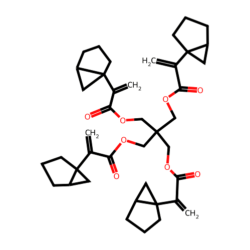 C=C(C(=O)OCC(COC(=O)C(=C)C12CCCC1C2)(COC(=O)C(=C)C12CCCC1C2)COC(=O)C(=C)C12CCCC1C2)C12CCCC1C2